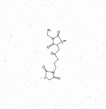 CC(=O)CN1C(=O)C(CC(=O)CCCN2C(=O)C[C@H](C)C2=O)[C@H](C)C1=O